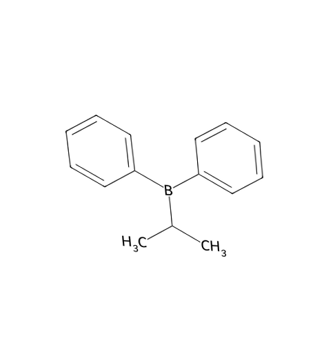 CC(C)B(c1ccccc1)c1ccccc1